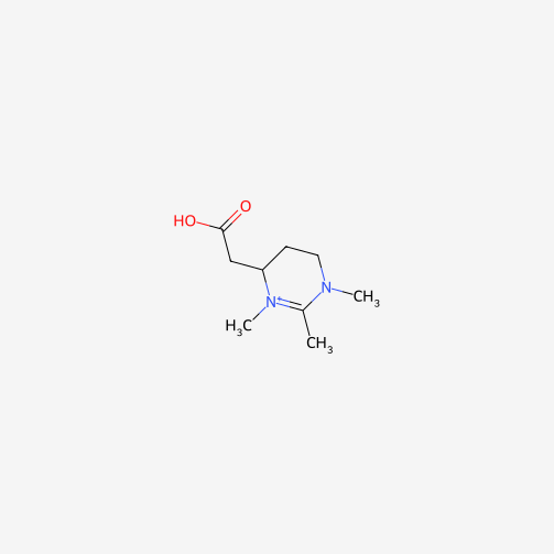 CC1=[N+](C)C(CC(=O)O)CCN1C